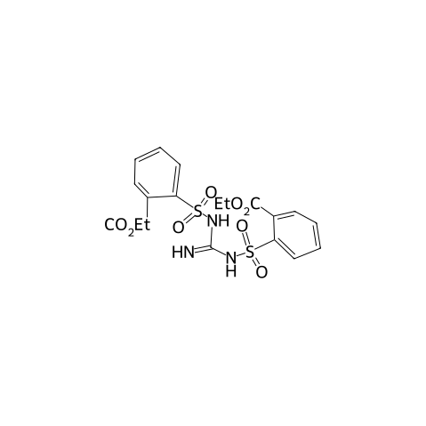 CCOC(=O)c1ccccc1S(=O)(=O)NC(=N)NS(=O)(=O)c1ccccc1C(=O)OCC